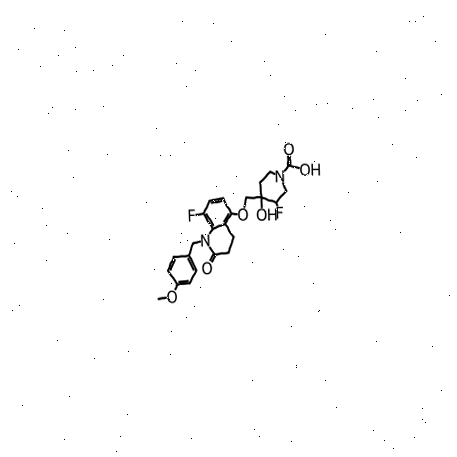 COc1ccc(CN2C(=O)CCc3c(OCC4(O)CCN(C(=O)O)CC4F)ccc(F)c32)cc1